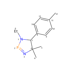 CCN1P=NC(C)(C)C1c1ccc(C)cc1